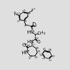 C[C@H](NC(=O)Cc1cc(F)cc(F)c1)C(=O)N[C@H]1C[C@H](c2ccccc2)CCNC1=O